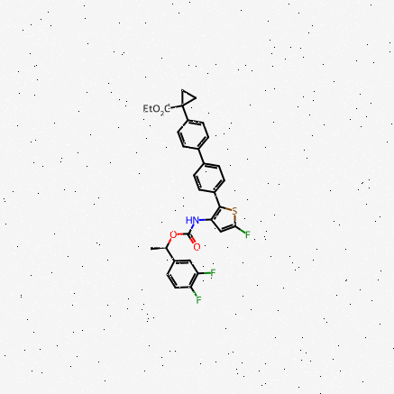 CCOC(=O)C1(c2ccc(-c3ccc(-c4sc(F)cc4NC(=O)O[C@H](C)c4ccc(F)c(F)c4)cc3)cc2)CC1